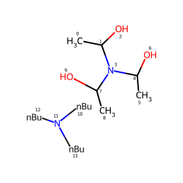 CC(O)N(C(C)O)C(C)O.CCCCN(CCCC)CCCC